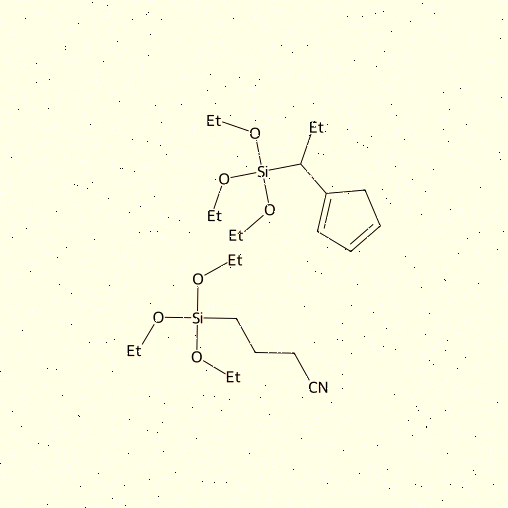 CCO[Si](CCCC#N)(OCC)OCC.CCO[Si](OCC)(OCC)C(CC)C1=CC=CC1